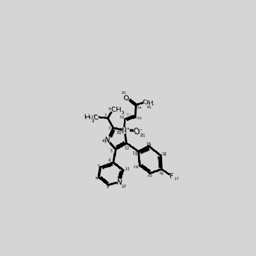 CC(C)C1=NC(c2cccnc2)=C(c2ccc(F)cc2)[N+]1([O-])/C=C/C(=O)O